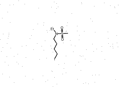 CCN(CCCCI)S(C)(=O)=O